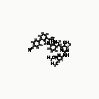 Cc1cnc(Nc2cc(C)n(C)n2)nc1-c1c[nH]c2c(N3Cc4c(cccc4-c4ccc(C#N)cc4)C3=O)cccc12